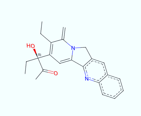 C=C1C(CC)=C([C@@](O)(CC)C(C)=O)C=C2c3nc4ccccc4cc3CN12